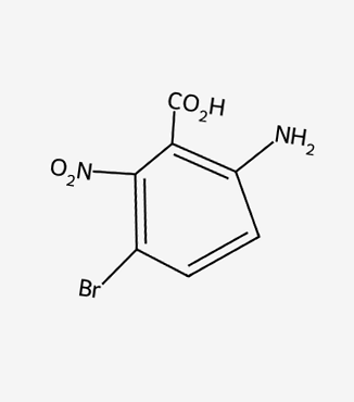 Nc1ccc(Br)c([N+](=O)[O-])c1C(=O)O